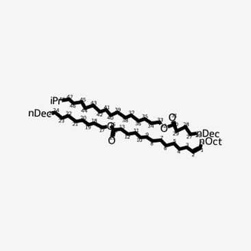 CCCCCCCC/C=C\CCCCCCCCCCCC(=O)OCCCCCCCCCCCCCCCCCC.CCCCCCCCCCCCCC(=O)OCCCCCCCCCCCCCCCC(C)C